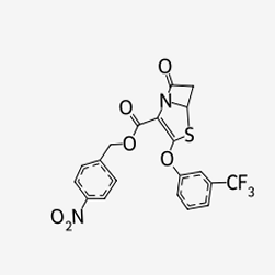 O=C(OCc1ccc([N+](=O)[O-])cc1)C1=C(Oc2cccc(C(F)(F)F)c2)SC2CC(=O)N12